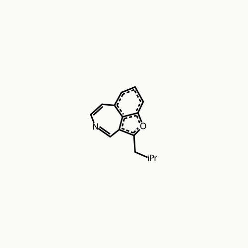 CC(C)Cc1oc2cccc3c2c1C=NC=C3